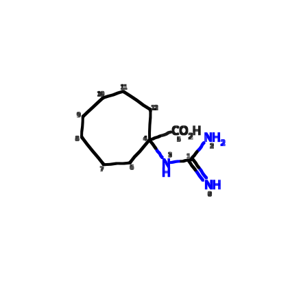 N=C(N)NC1(C(=O)O)CCCCCCC1